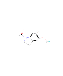 CC(=O)N1CCc2cc(OC(F)F)c(Br)cc21